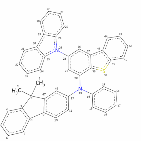 CC1(C)c2ccccc2-c2ccc(N(c3ccccc3)c3cc(-n4c5ccccc5c5ccccc54)cc4c3sc3ccccc34)cc21